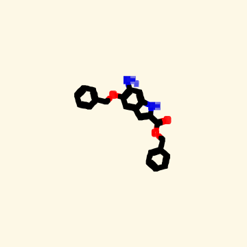 Nc1cc2[nH]c(C(=O)OCc3ccccc3)cc2cc1OCc1ccccc1